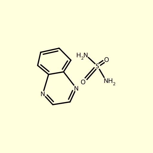 NS(N)(=O)=O.c1ccc2nccnc2c1